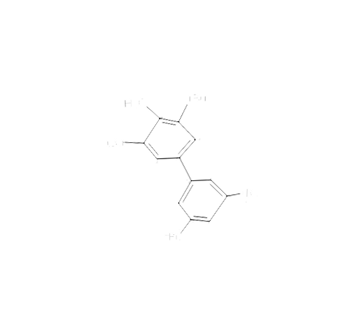 Cc1c(C(C)(C)C)cc(-c2cc(C(C)(C)C)[c]c(C(C)(C)C)c2)cc1C(C)(C)C